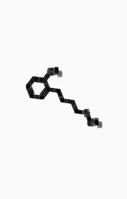 CSCCCCc1ccccc1C